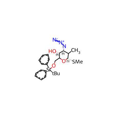 CS[C@@H]1OC(CO[Si](c2ccccc2)(c2ccccc2)C(C)(C)C)[C@H](O)[C@H](N=[N+]=[N-])C1C